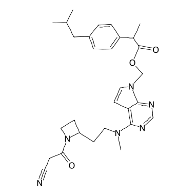 CC(C)Cc1ccc(C(C)C(=O)OCn2ccc3c(N(C)CCC4CCN4C(=O)CC#N)ncnc32)cc1